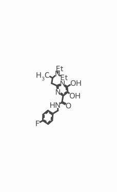 CCN(CC)C(C)Cc1nc(O)c(O)c(C(=O)NCc2ccc(F)cc2)n1